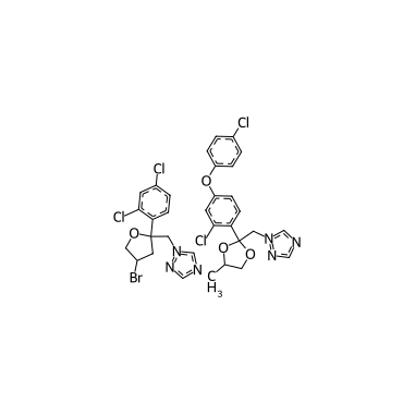 CC1COC(Cn2cncn2)(c2ccc(Oc3ccc(Cl)cc3)cc2Cl)O1.Clc1ccc(C2(Cn3cncn3)CC(Br)CO2)c(Cl)c1